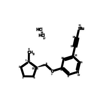 CN1CCC[C@H]1COc1cncc(C#CC(C)(C)C)c1.Cl.Cl